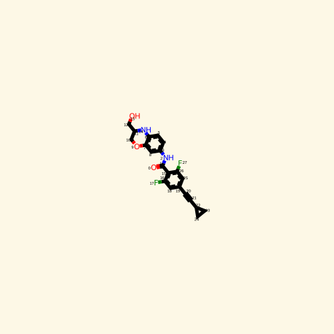 O=C(Nc1ccc2c(c1)OCC(CO)N2)c1c(F)cc(C#CC2CC2)cc1F